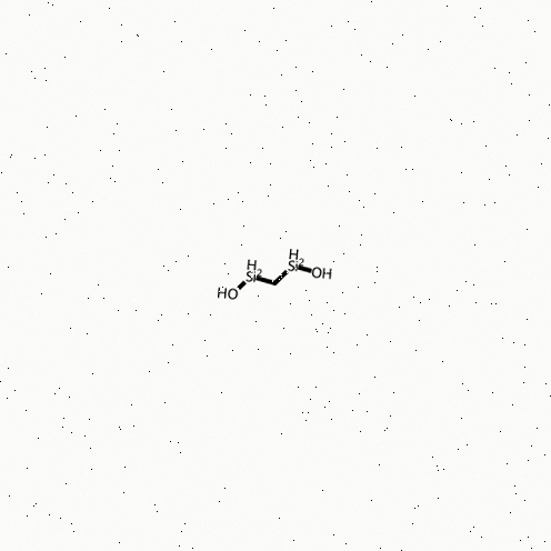 O[SiH2]C[SiH2]O